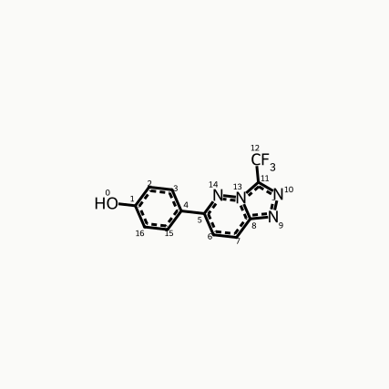 Oc1ccc(-c2ccc3nnc(C(F)(F)F)n3n2)cc1